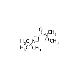 CON(C)C(=O)C1CN(C(C)(C)C)C1